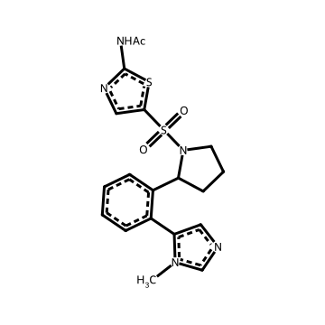 CC(=O)Nc1ncc(S(=O)(=O)N2CCCC2c2ccccc2-c2cncn2C)s1